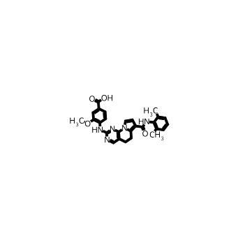 COc1cc(C(=O)O)ccc1Nc1ncc2c(n1)-n1ccc(C(=O)Nc3c(C)cccc3C)c1CC2